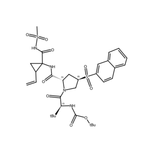 C=CC1CC1(NC(=O)[C@@H]1C[C@@H](S(=O)(=O)c2ccc3ccccc3c2)CN1C(=O)[C@@H](NC(=O)OC(C)(C)C)C(C)(C)C)C(=O)NS(C)(=O)=O